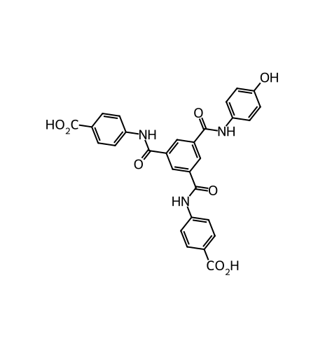 O=C(O)c1ccc(NC(=O)c2cc(C(=O)Nc3ccc(O)cc3)cc(C(=O)Nc3ccc(C(=O)O)cc3)c2)cc1